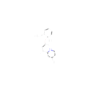 CCCC[C@H]1C=CC=CC1(CCC)O/C(C)=C/C(C)c1cc(C(C)C)ccn1